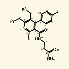 Cc1ccc(-c2c(CC(C)(C)C)c(CC(C)C)nc(C)c2C(=O)NCCC(N)=O)cc1